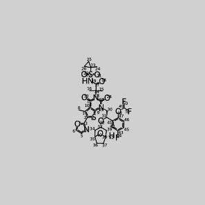 Cc1c(-c2ncco2)sc2c1c(=O)n(C(C)(C)C(=O)NS(=O)(=O)C1(C)CC1)c(=O)n2C[C@H](O[C@H]1CC2CC[C@H](C1)O2)c1cc(F)ccc1OC(F)F